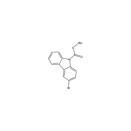 CC(C)(C)OC(=O)n1c2ccccc2c2cc(Br)ccc21